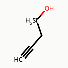 C#CC[SiH2]O